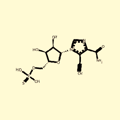 C#Cc1c(C(N)=O)ncn1[C@@H]1O[C@H](COP(O)(O)=S)[C@@H](O)[C@H]1O